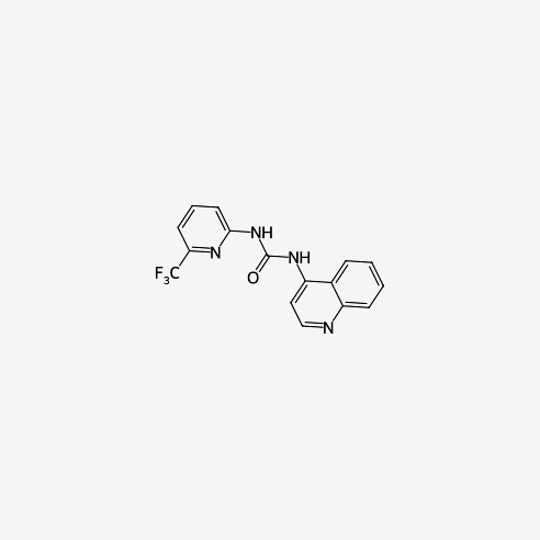 O=C(Nc1cccc(C(F)(F)F)n1)Nc1ccnc2ccccc12